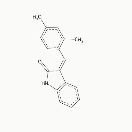 Cc1ccc(C=C2C(=O)Nc3ccccc32)c(C)c1